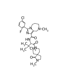 CN1CCCn2c(-c3cc(Cl)ccc3F)nc(C(=O)NC(C(=O)N3CCC4(CCN(C)C4=O)CC3)C(C)(C)C)c2C1